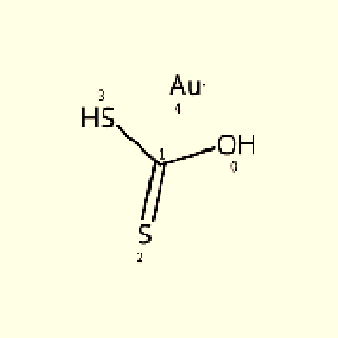 OC(=S)S.[Au]